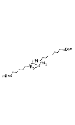 C=CC.CCCCCCCCCCCCCCCCCCNCCCCCCCCCCCCCCCCCC